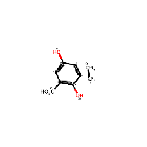 CC#N.O=C(O)c1cc(O)ccc1O